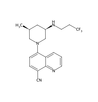 C[C@H]1C[C@@H](NCCC(F)(F)F)CN(c2ccc(C#N)c3ncccc23)C1